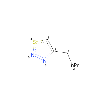 C[CH]CCc1csnn1